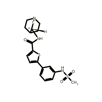 CS(=O)(=O)Nc1cccc(-c2ccc(C(=O)N[C@H]3CN4CCC3CC4)s2)c1